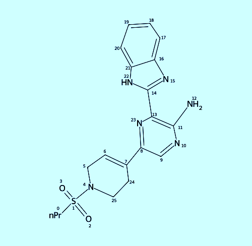 CCCS(=O)(=O)N1CC=C(c2cnc(N)c(-c3nc4ccccc4[nH]3)n2)CC1